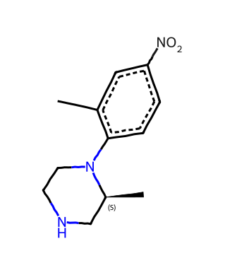 Cc1cc([N+](=O)[O-])ccc1N1CCNC[C@@H]1C